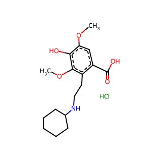 COc1cc(C(=O)O)c(CCNC2CCCCC2)c(OC)c1O.Cl